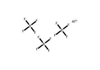 F[B-](F)(F)F.F[B-](F)(F)F.F[B-](F)(F)F.[Al+3]